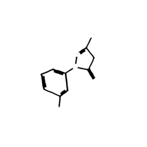 NC1=NN(c2cccc(S(=O)(=O)O)c2)C(=O)C1